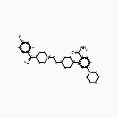 NC(=O)c1ccc(N2CCCCC2)cc1C1CCC(CCN2CCC(C(=O)c3ccc(F)cc3)CC2)CC1